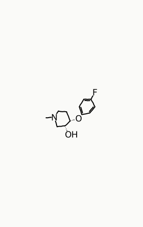 CN1CC[C@H](Oc2ccc(F)cc2)[C@H](O)C1